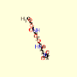 COCCOCC(=O)NCCOCCOCCNC(=O)CCCN1C(=O)C=CC1=O